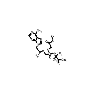 CC(C)COC(=O)C(C)(C)NP(=O)(CO[C@H](C)Cn1cnc2c(N)ncnc21)OCC(=O)OC(C)C